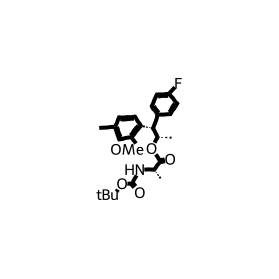 COc1cc(C)ccc1[C@H](c1ccc(F)cc1)[C@H](C)OC(=O)[C@H](C)NC(=O)OC(C)(C)C